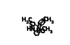 CO.Cc1cc2c(s1)Nc1ccccc1N=C2N1CCN(C)CC1